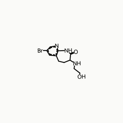 O=C1Nc2ncc(Br)cc2CCC1NCCO